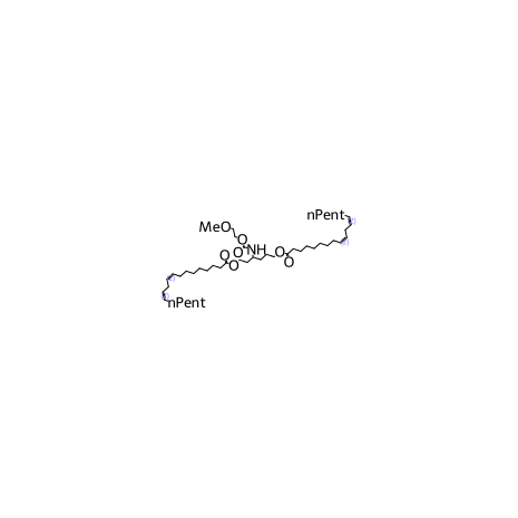 CCCCC/C=C\C/C=C\CCCCCCCC(=O)OCCCC(CCOC(=O)CCCCCCC/C=C\C/C=C\CCCCC)NC(=O)OCCOC